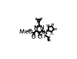 C=CCN(c1nc(C2CC2)nc(C(=O)OC)c1Cl)C1CCCC1